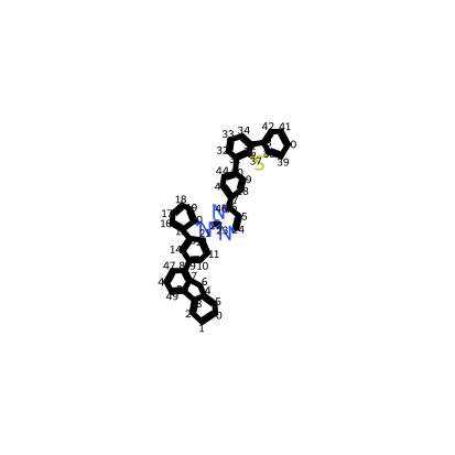 c1ccc2c(c1)Cc1c(-c3ccc4c(c3)c3ccccc3n4-c3nccc(-c4ccc(-c5cccc6c5sc5ccccc56)cc4)n3)cccc1-2